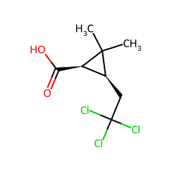 CC1(C)[C@H](C(=O)O)[C@@H]1CC(Cl)(Cl)Cl